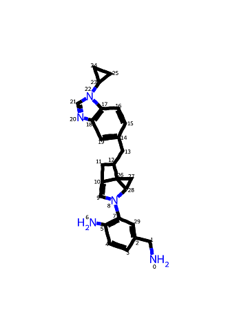 NCc1ccc(N)c(N2C=C3CC(Cc4ccc5c(c4)ncn5C4CC4)C34CC24)c1